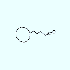 O=C=NCCCC1CCCCCCCCC1